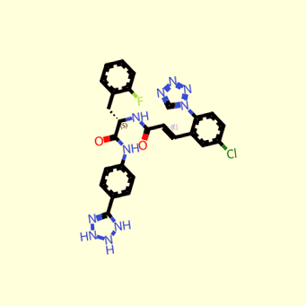 O=C(/C=C/c1cc(Cl)ccc1-n1cnnn1)N[C@@H](Cc1ccccc1F)C(=O)Nc1ccc(C2=NNNN2)cc1